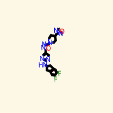 Fc1cc2c(cc1F)CC(Nc1ncc(-c3nnc(N4CCC(c5ncon5)CC4)o3)cn1)C2